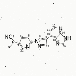 CC(C#N)c1ccc(-n2cc(-c3ccnc4[nH]cnc34)cn2)nc1